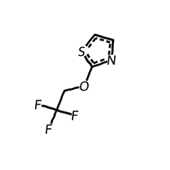 FC(F)(F)COc1nccs1